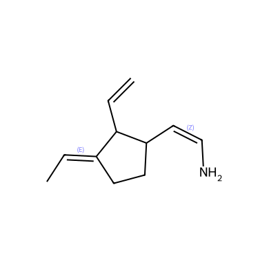 C=CC1/C(=C/C)CCC1/C=C\N